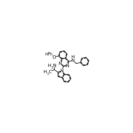 CCCOc1cccc2c(NCc3ccccc3)nc(-n3c(C(C)N)cc4ccccc43)nc12